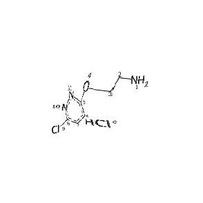 Cl.NCCOc1ccc(Cl)nn1